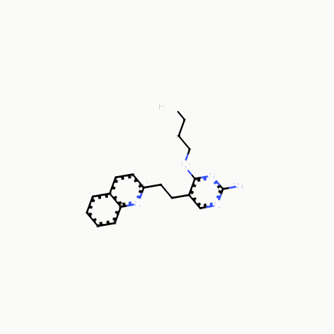 CCCCNc1nc(N)ncc1CCc1ccc2ccccc2n1